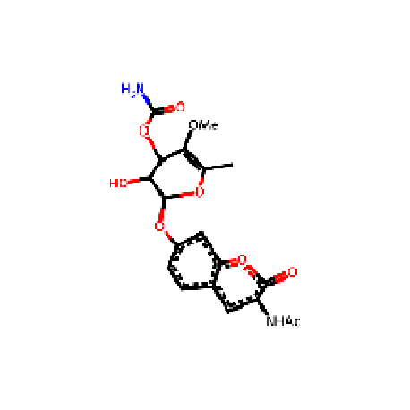 COC1=C(C)OC(Oc2ccc3cc(NC(C)=O)c(=O)oc3c2)C(O)C1OC(N)=O